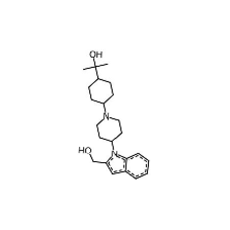 CC(C)(O)C1CCC(N2CCC(n3c(CO)cc4ccccc43)CC2)CC1